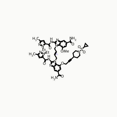 CCn1nc(C)cc1C(=O)Nc1nc2cc(C(N)=O)cc(OC)c2n1C/C=C/Cn1c(NC(=O)c2cc(C)nn2CC)nc2cc(C(N)=O)cc(OCC#CC3CCN(S(=O)(=O)C4CC4)CC3)c21